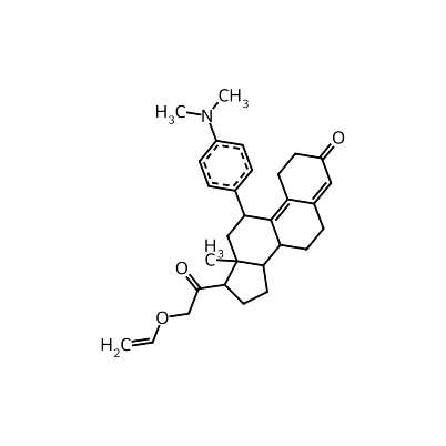 C=COCC(=O)C1CCC2C3CCC4=CC(=O)CCC4=C3C(c3ccc(N(C)C)cc3)CC12C